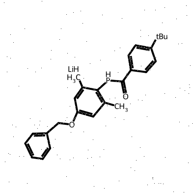 Cc1cc(OCc2ccccc2)cc(C)c1PC(=O)c1ccc(C(C)(C)C)cc1.[LiH]